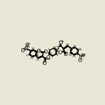 O=C1OC2(CCC3(CC2)OC(=O)C(=Cc2ccc([N+](=O)[O-])cc2)C(=O)O3)OC(=O)C1=Cc1ccc([N+](=O)[O-])cc1